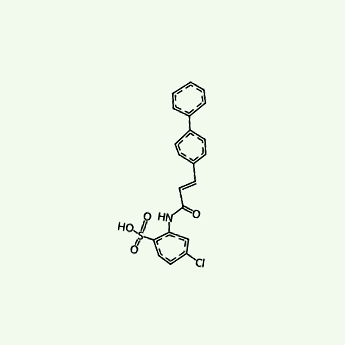 O=C(C=Cc1ccc(-c2ccccc2)cc1)Nc1cc(Cl)ccc1S(=O)(=O)O